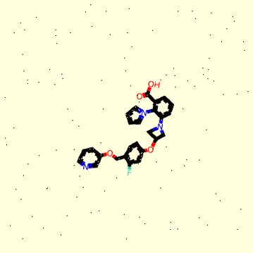 O=C(O)c1cccc(N2CC(Oc3ccc(COc4cccnc4)c(F)c3)C2)c1-n1cccc1